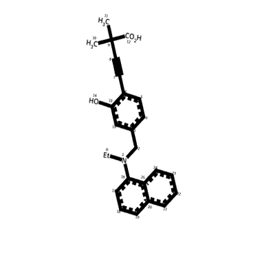 CCN(Cc1ccc(C#CC(C)(C)C(=O)O)c(O)c1)c1cccc2ccccc12